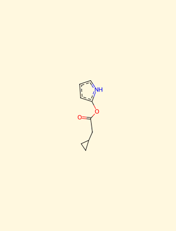 O=C(CC1CC1)Oc1ccc[nH]1